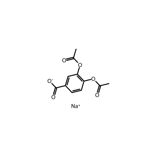 CC(=O)Oc1ccc(C(=O)[O-])cc1OC(C)=O.[Na+]